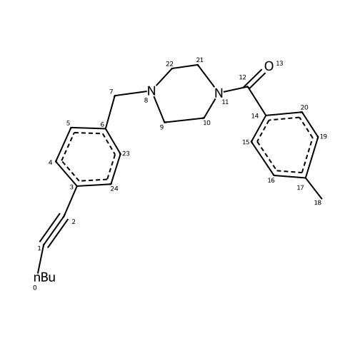 CCCCC#Cc1ccc(CN2CCN(C(=O)c3ccc(C)cc3)CC2)cc1